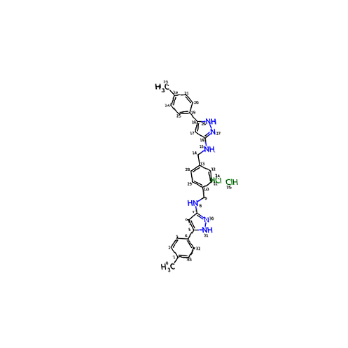 Cc1ccc(-c2cc(NCc3ccc(CNc4cc(-c5ccc(C)cc5)[nH]n4)cc3)n[nH]2)cc1.Cl.Cl